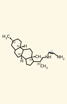 C[C@H]1CC[C@H]2C(CC[C@@H]3C2CC[C@@]2(C)C3CCC2[C@@H](C)CN/C=C\N)C1